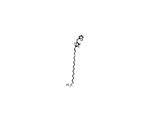 CCCCCCCCCCCCCCC/C=C/c1nnc(Cc2ccco2)o1